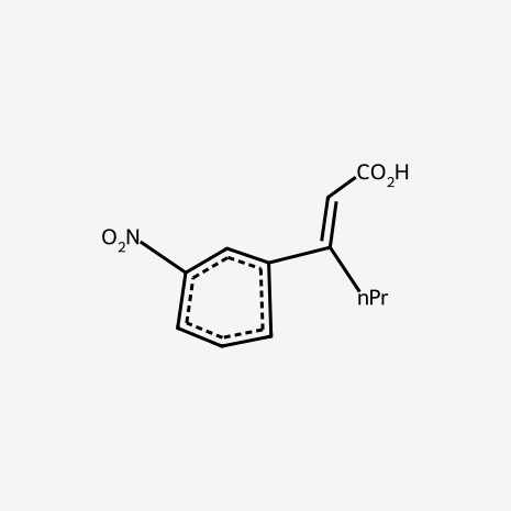 CCCC(=CC(=O)O)c1cccc([N+](=O)[O-])c1